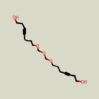 OCCC#CCCCOCOCOCCCC#CCCO